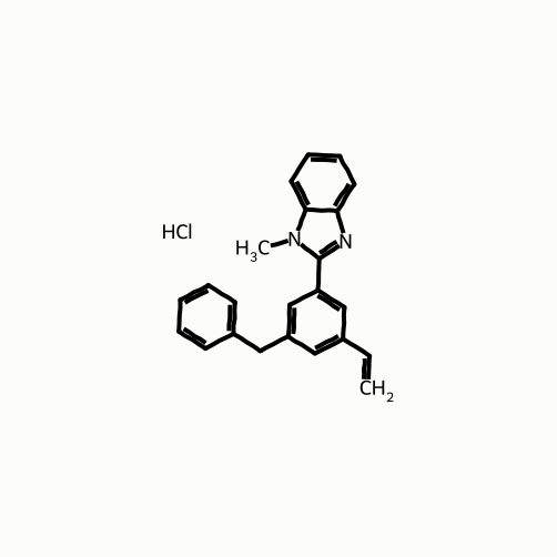 C=Cc1cc(Cc2ccccc2)cc(-c2nc3ccccc3n2C)c1.Cl